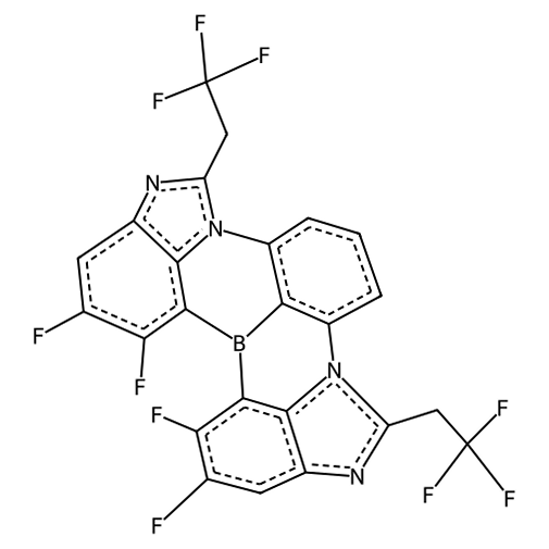 Fc1cc2nc(CC(F)(F)F)n3c2c(c1F)B1c2c-3cccc2-n2c(CC(F)(F)F)nc3cc(F)c(F)c1c32